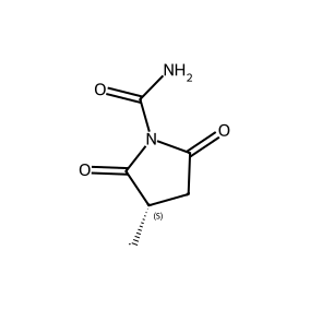 [CH2][C@H]1CC(=O)N(C(N)=O)C1=O